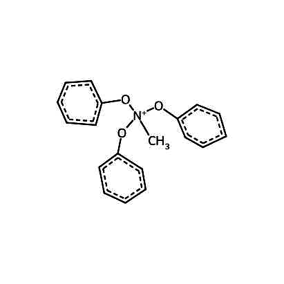 C[N+](Oc1ccccc1)(Oc1ccccc1)Oc1ccccc1